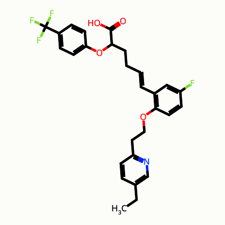 CCc1ccc(CCOc2ccc(F)cc2C=CCCC(Oc2ccc(C(F)(F)F)cc2)C(=O)O)nc1